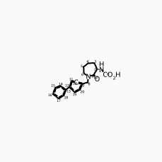 O=C(O)N[C@H]1CCCCN(Cc2ccc(-c3ccccc3)cc2)C1=O